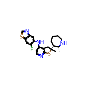 C[C@H]1NCCCC[C@H]1C1(C)Cc2c(Nc3cc4ncsc4cc3F)ccnc2S1